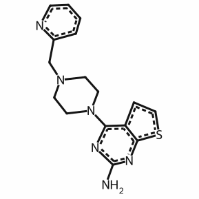 Nc1nc(N2CCN(Cc3ccccn3)CC2)c2ccsc2n1